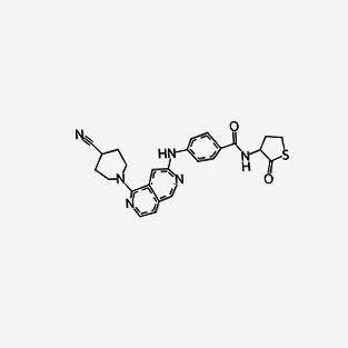 N#CC1CCN(c2nccc3cnc(Nc4ccc(C(=O)NC5CCSC5=O)cc4)cc23)CC1